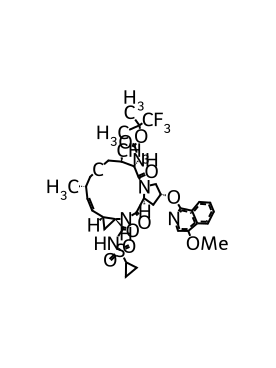 COc1cnc(O[C@@H]2C[C@H]3C(=O)N[C@]4(C(=O)NS(=O)(=O)C5CC5)C[C@@H]4/C=C\[C@H](C)CCC[C@@H](C)[C@H](NC(=O)OC(C)(C)C(F)(F)F)C(=O)N3C2)c2ccccc12